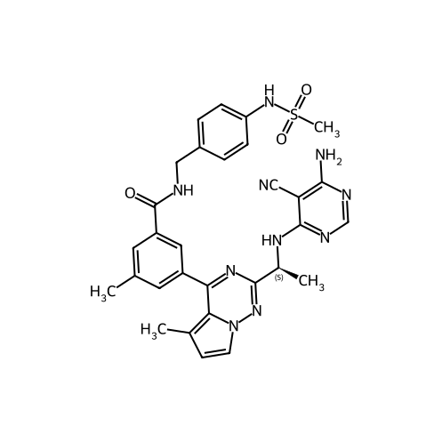 Cc1cc(C(=O)NCc2ccc(NS(C)(=O)=O)cc2)cc(-c2nc([C@H](C)Nc3ncnc(N)c3C#N)nn3ccc(C)c23)c1